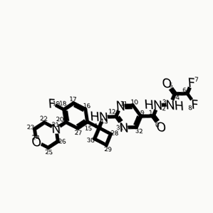 O=C(NNC(=O)C(F)F)c1cnc(NC2(c3ccc(F)c(N4CCOCC4)c3)CCC2)nc1